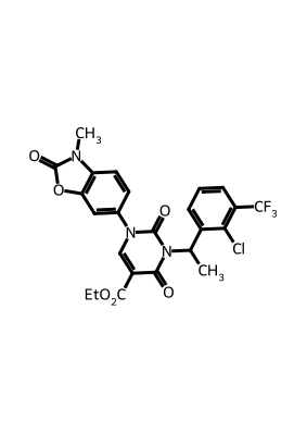 CCOC(=O)c1cn(-c2ccc3c(c2)oc(=O)n3C)c(=O)n(C(C)c2cccc(C(F)(F)F)c2Cl)c1=O